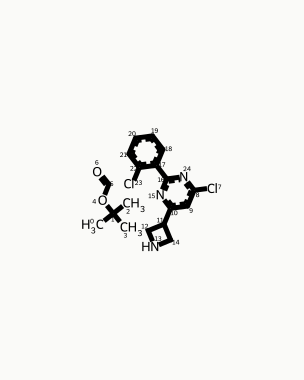 CC(C)(C)OC=O.Clc1cc(C2CNC2)nc(-c2ccccc2Cl)n1